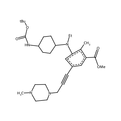 CCN(c1cc(C#CCN2CCN(C)CC2)cc(C(=O)OC)c1C)C1CCC(NC(=O)OC(C)(C)C)CC1